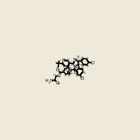 CCOc1cc(C(C)(C)C)ncc1C1=N[C@@](C)(c2ccc(Cl)cc2)[C@@](C)(c2ccc(Cl)cc2)N1C(=O)N1CCC(C(=O)OCC(N)=O)CC1